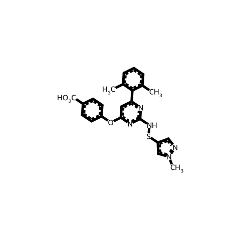 Cc1cccc(C)c1-c1cc(Oc2ccc(C(=O)O)cc2)nc(NSc2cnn(C)c2)n1